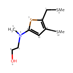 CSCc1sc(N(C)CCO)cc1SC